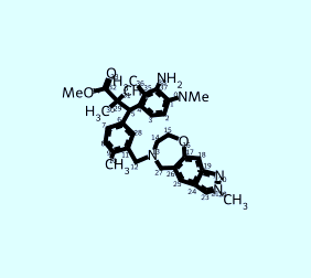 CNc1ccc(C(c2ccc(C)c(CN3CCOc4cc5nn(C)cc5cc4C3)c2)C(C)(C)C(=O)OC)c(C)c1N